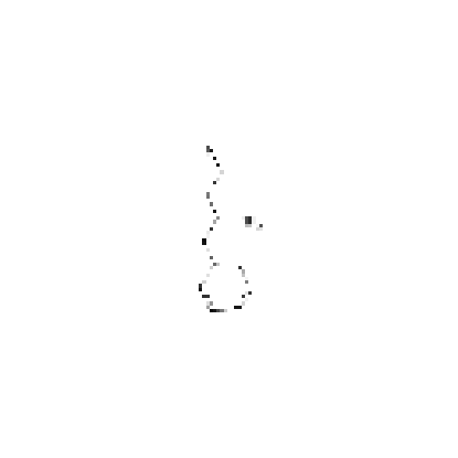 [NH]CCC(N)Cc1ccccc1